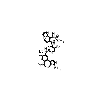 CCOc1cc2c(cc1Nc1ncc(Br)c(Nc3ccn4ccnc4c3NS(C)(=O)=O)n1)-c1cnn(C)c1CCN2C(C)C